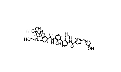 Cc1c(NC(=O)c2ccc(CN3CC[C@@H](O)C3)cn2)cccc1-c1cccc(NC(=O)c2ccc(CN(CCO)C(=O)OC(C)(C)C)cn2)c1C